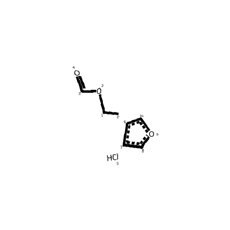 CCOC=O.Cl.c1ccoc1